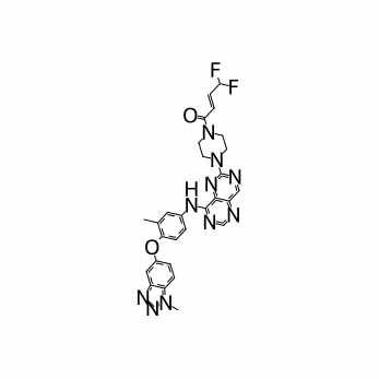 Cc1cc(Nc2ncnc3cnc(N4CCN(C(=O)C=CC(F)F)CC4)nc23)ccc1Oc1ccc2c(c1)nnn2C